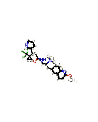 COc1ccc2cc(C[C@@H](CNC(=O)C[C@@H](c3cccnc3)C3(C(F)(F)F)CC3)N(C)C)ccc2n1